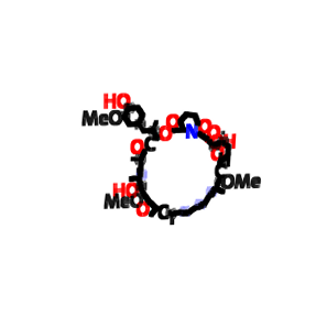 COC1C(=O)C(C)C[C@H](C)/C=C/C=C/C=C(\C)[C@@H](OC)C[C@@H]2CC[C@@H](C)[C@@](O)(O2)C(=O)C(=O)N2CCCCC2C(=O)OC([C@H](C)C[C@@H]2CC[C@@H](O)[C@H](OC)C2)CC(=O)[C@H](C)/C=C(\C)[C@H]1O